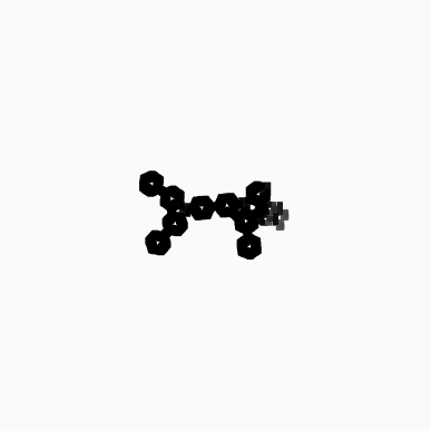 CC1(C)c2cnccc2-n2c3ccc(-c4ccc(-n5c6ccc(-c7ccccc7)cc6c6cc(-c7ccccc7)ccc65)cc4)cc3c3cc(-c4ccccc4)cc1c32